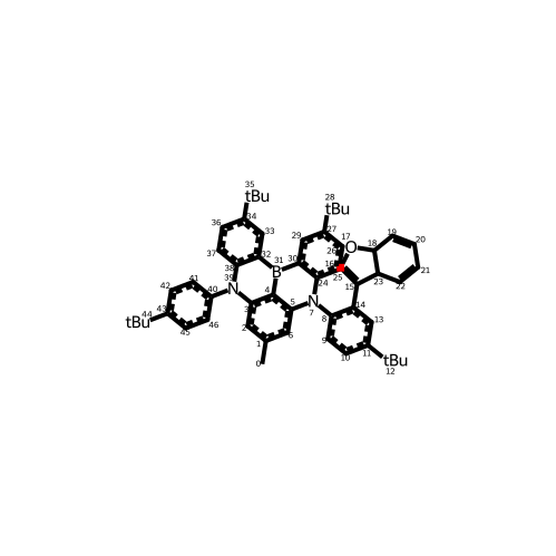 Cc1cc2c3c(c1)N(c1ccc(C(C)(C)C)cc1C1=COC4C=CC=CC14)c1ccc(C(C)(C)C)cc1B3c1cc(C(C)(C)C)ccc1N2c1ccc(C(C)(C)C)cc1